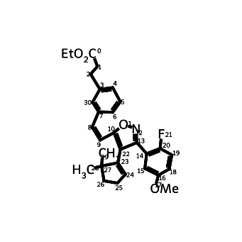 CCOC(=O)CCc1cccc(/C=C\c2onc(-c3cc(OC)ccc3F)c2C2=CCCC2(C)C)c1